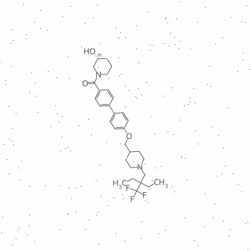 CCC(CC)(CN1CCC(COc2ccc(-c3ccc(C(=O)N4CCC[C@@H](O)C4)cc3)cc2)CC1)C(F)(F)F